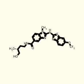 C[C@@H](CO)CCNC(=O)c1ccc2c(c1)nc(Nc1nc3ccc(OC(F)(F)F)cc3s1)n2C